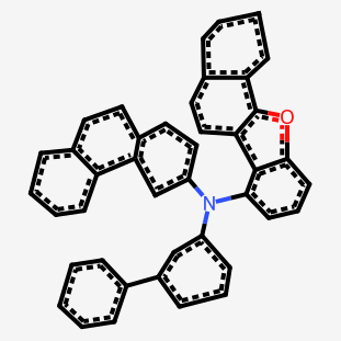 c1ccc(-c2cccc(N(c3ccc4ccc5ccccc5c4c3)c3cccc4oc5c6ccccc6ccc5c34)c2)cc1